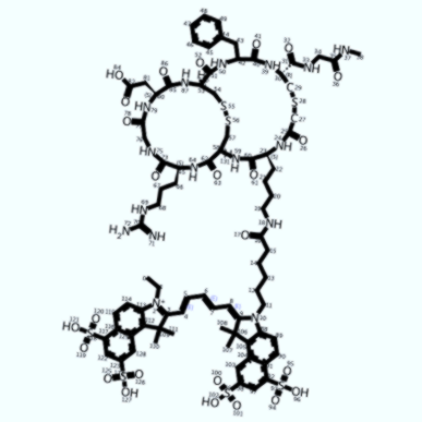 CC[N+]1=C(/C=C/C=C/C=C2/N(CCCCCC(=O)NCCCC[C@@H]3NC(=O)CSC[C@@H](C(=O)NCC(=O)NC)NC(=O)C(Cc4ccccc4)NC(=O)[C@@H]4CSSC[C@H](NC3=O)C(=O)N[C@@H](CCCNC(=N)N)C(=O)NCC(=O)N[C@@H](CC(=O)O)C(=O)N4)c3ccc4c(S(=O)(=O)O)cc(S(=O)(=O)O)cc4c3C2(C)C)C(C)(C)c2c1ccc1c(S(=O)(=O)O)cc(S(=O)(=O)O)cc21